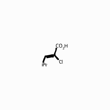 CC(C)C=C(Cl)C(=O)O